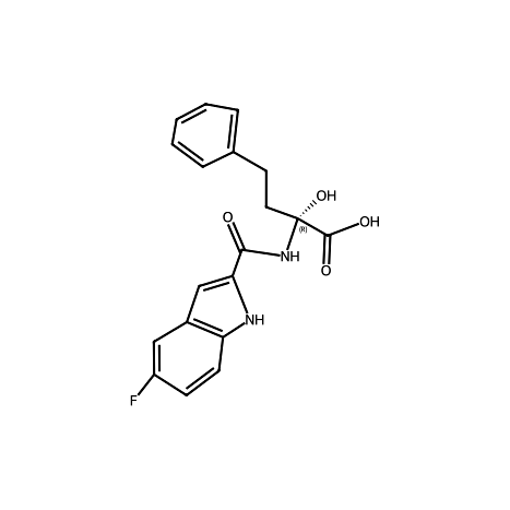 O=C(N[C@@](O)(CCc1ccccc1)C(=O)O)c1cc2cc(F)ccc2[nH]1